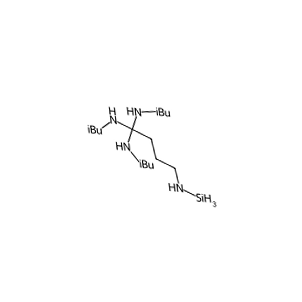 CCC(C)NC(CCCN[SiH3])(NC(C)CC)NC(C)CC